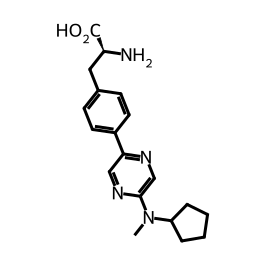 CN(c1cnc(-c2ccc(C[C@H](N)C(=O)O)cc2)cn1)C1CCCC1